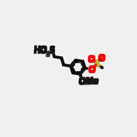 COc1cc(CCCS(=O)(=O)O)ccc1OS(C)(=O)=O